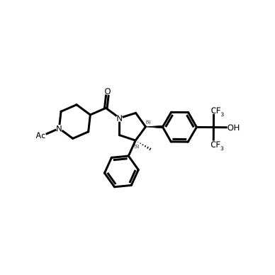 CC(=O)N1CCC(C(=O)N2C[C@@H](c3ccc(C(O)(C(F)(F)F)C(F)(F)F)cc3)[C@@](C)(c3ccccc3)C2)CC1